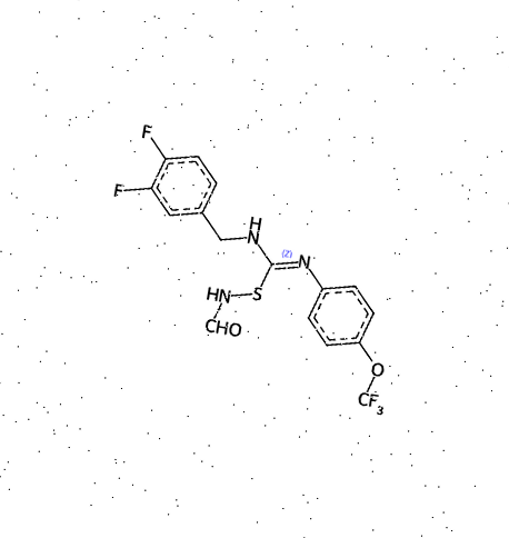 O=CNS/C(=N\c1ccc(OC(F)(F)F)cc1)NCc1ccc(F)c(F)c1